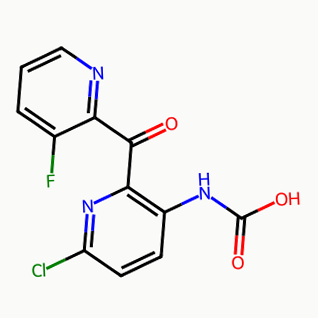 O=C(O)Nc1ccc(Cl)nc1C(=O)c1ncccc1F